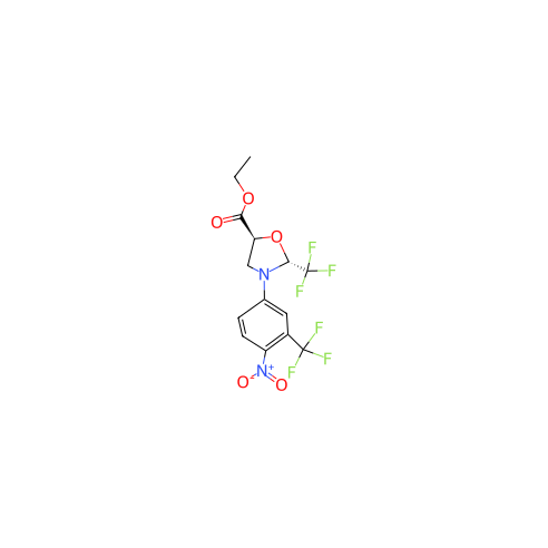 CCOC(=O)[C@@H]1CN(c2ccc([N+](=O)[O-])c(C(F)(F)F)c2)[C@@H](C(F)(F)F)O1